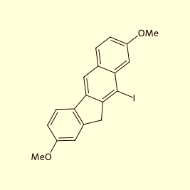 COc1ccc2c(c1)Cc1c-2cc2ccc(OC)cc2c1I